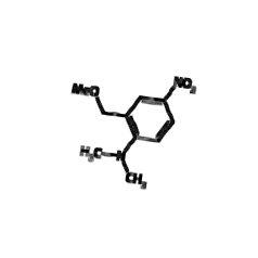 COCc1cc([N+](=O)[O-])ccc1N(C)C